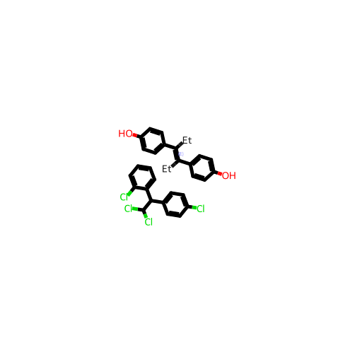 CC/C(=C(/CC)c1ccc(O)cc1)c1ccc(O)cc1.Clc1ccc(C(c2ccccc2Cl)C(Cl)Cl)cc1